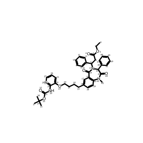 CCOC(=O)CC(c1ccccc1)N1C(=O)c2cc(CCCCOc3cccnc3NC(=O)OC(C)(C)C)ccc2N(C)C(=O)C1c1ccccc1